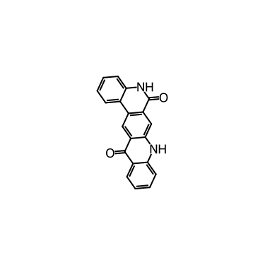 O=c1c2ccccc2[nH]c2cc3c(=O)[nH]c4ccccc4c3cc12